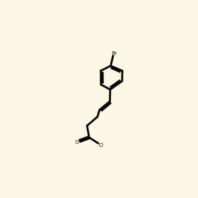 O=C(Cl)CCC=Cc1ccc(Br)cc1